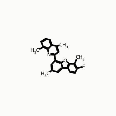 Cc1cc(-c2cc(C)c3cccc(C)c3n2)c2oc3c(C)c(F)ccc3c2c1